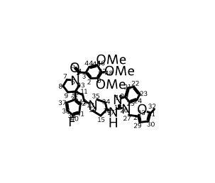 COc1cc(C(=O)N2CCCC(CCN3CCC(Nc4nc5ccccc5n4Cc4ccc(C)o4)CC3)(c3ccc(F)cc3)C2)cc(OC)c1OC